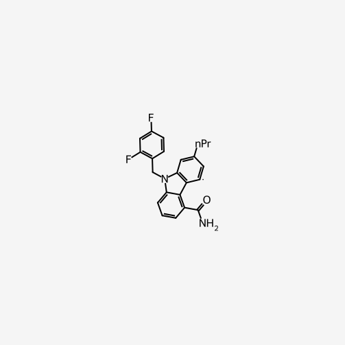 CCCc1c[c]c2c3c(C(N)=O)cccc3n(Cc3ccc(F)cc3F)c2c1